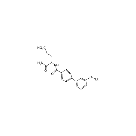 CCOc1cccc(-c2ccc(C(=O)N[C@@H](CCC(=O)O)C(N)=O)cc2)c1